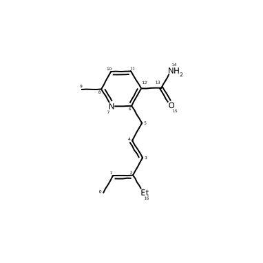 CC=C(C=CCc1nc(C)ccc1C(N)=O)CC